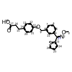 CO/N=C(\c1cccc(COc2ccc(CCC(=O)O)cc2)c1)c1cccs1